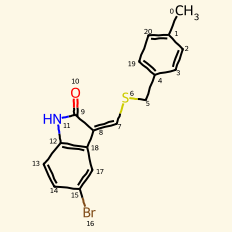 Cc1ccc(CSC=C2C(=O)Nc3ccc(Br)cc32)cc1